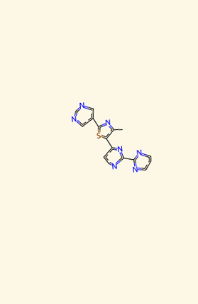 Cc1nc(-c2cncnc2)sc1-c1ccnc(-c2ncccn2)n1